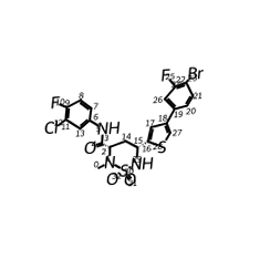 CN1[C@H](C(=O)Nc2ccc(F)c(Cl)c2)C[C@H](c2cc(-c3ccc(Br)c(F)c3)cs2)NS1(=O)=O